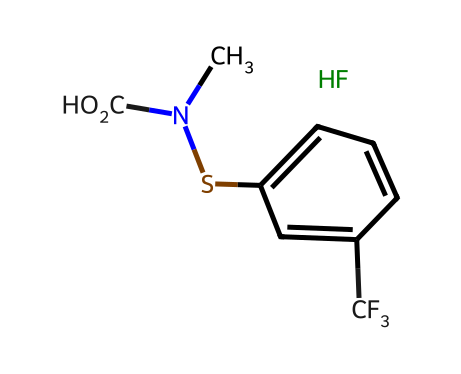 CN(Sc1cccc(C(F)(F)F)c1)C(=O)O.F